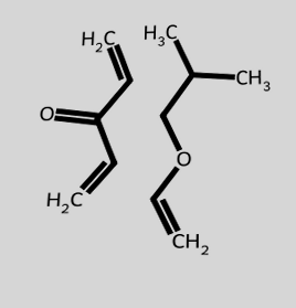 C=CC(=O)C=C.C=COCC(C)C